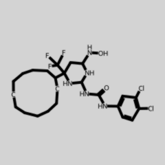 O=C(Nc1ccc(Cl)c(Cl)c1)NC1NC(NO)CC(C2CCCCCCCCCCC2)(C(F)(F)F)N1